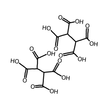 O=C(O)C(C(=O)O)C(C(=O)O)C(=O)O.O=C(O)C(C(=O)O)C(C(=O)O)C(=O)O